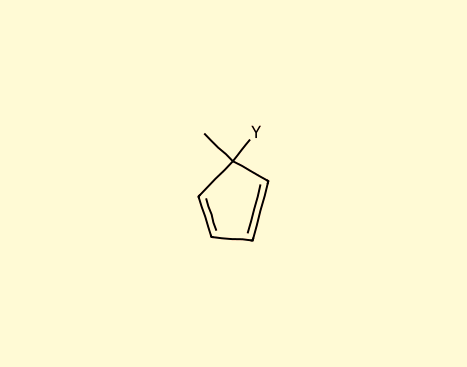 C[C]1([Y])C=CC=C1